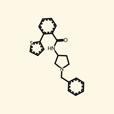 O=C(NC1CCN(Cc2ccccc2)C1)c1ccccc1-c1cccs1